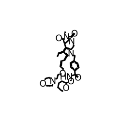 C/C=c1/c2c(n(Cc3ccc(C(=O)NOC4CCCCO4)cc3)/c1=C/C=C\COCCN1CCOCC1)CN1CC2C(=O)N(C)C1=O